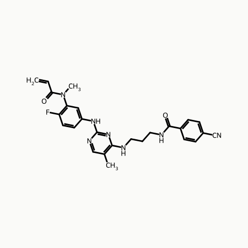 C=CC(=O)N(C)c1cc(Nc2ncc(C)c(NCCCNC(=O)c3ccc(C#N)cc3)n2)ccc1F